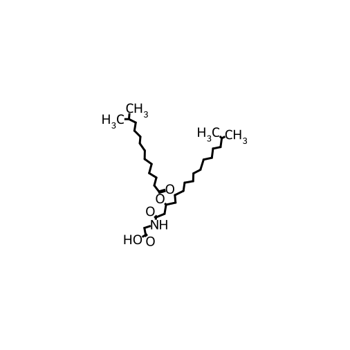 CC(C)CCCCCCCCCCCC(CC(=O)NCC(=O)O)OC(=O)CCCCCCCCCCC(C)C